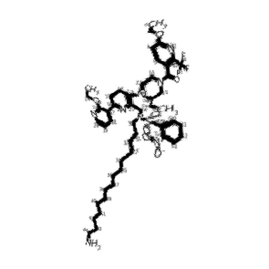 CCOc1ccc(C(=O)N2CCN(c3ccc(-c4cccnc4OCC)nc3CN(CCCCCCCCCCCCCCCN)S(=O)(=O)c3ccccc3[N+](=O)[O-])[C@H](CC)C2)c(C(F)(F)F)n1